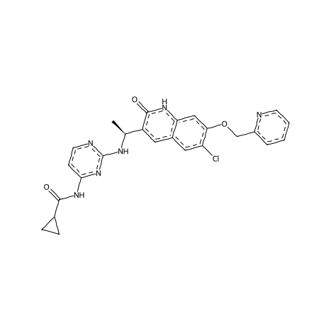 C[C@H](Nc1nccc(NC(=O)C2CC2)n1)c1cc2cc(Cl)c(OCc3ccccn3)cc2[nH]c1=O